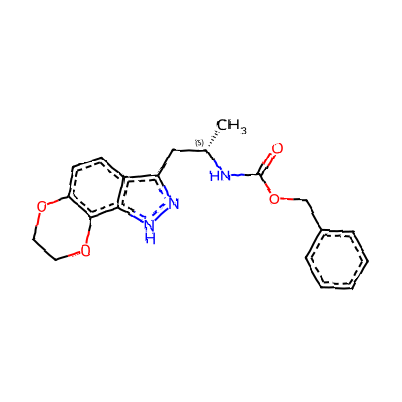 C[C@@H](Cc1n[nH]c2c3c(ccc12)OCCO3)NC(=O)OCc1ccccc1